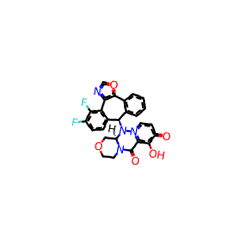 O=C1c2c(O)c(=O)ccn2N([C@@H]2c3ccccc3-c3ocnc3-c3c2ccc(F)c3F)[C@@H]2COCCN12